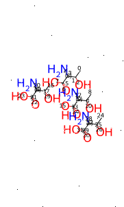 CC(O)[C@H](N)C(=O)O.CC(O)[C@H](N)C(=O)O.CC(O)[C@H](N)C(=O)O.CC(O)[C@H](N)C(=O)O